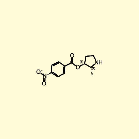 C[C@H]1NCC[C@@H]1OC(=O)c1ccc([N+](=O)[O-])cc1